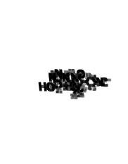 [C-]#[N+]c1ccc([C@H](C(=O)N2CCN(c3ncnc4c3[C@H](C)C[C@H]4O)CC2)[C@@H]2CCC(C)(C)N2)cc1